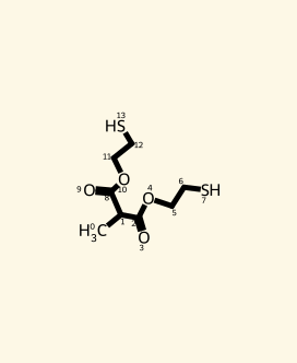 CC(C(=O)OCCS)C(=O)OCCS